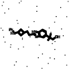 CC(C)NC1CC(CCc2nc3cc(C(C)(C)CO)ccc3[nH]2)C1